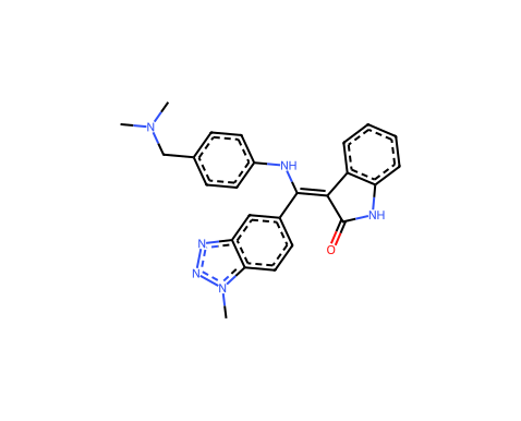 CN(C)Cc1ccc(NC(=C2C(=O)Nc3ccccc32)c2ccc3c(c2)nnn3C)cc1